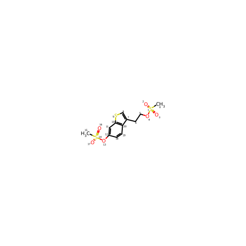 CS(=O)(=O)OCCc1csc2cc(OS(C)(=O)=O)ccc12